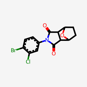 O=C1C2C3CCC(O3)C2C(=O)N1c1ccc(Br)c(Cl)c1